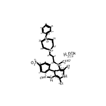 CCC1=C(NC=O)C(c2ccc([N+](=O)[O-])cc2)C(N(C=O)CCCN2CCN(c3ccccc3)CC2)=C(CC)N1.Cl.O